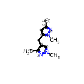 Bc1nn(C)cc1Cc1cc(CC)nn1C